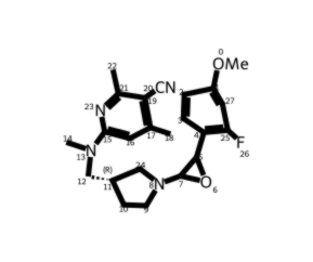 COc1ccc(C2OC2N2CC[C@H](CN(C)c3cc(C)c(C#N)c(C)n3)C2)c(F)c1